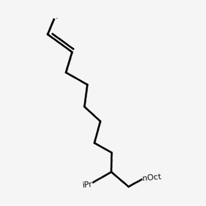 [CH2]C=CCCCCCCC(CCCCCCCC[CH2])C(C)C